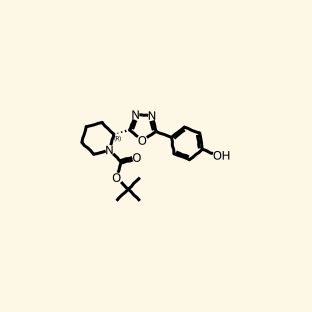 CC(C)(C)OC(=O)N1CCCC[C@@H]1c1nnc(-c2ccc(O)cc2)o1